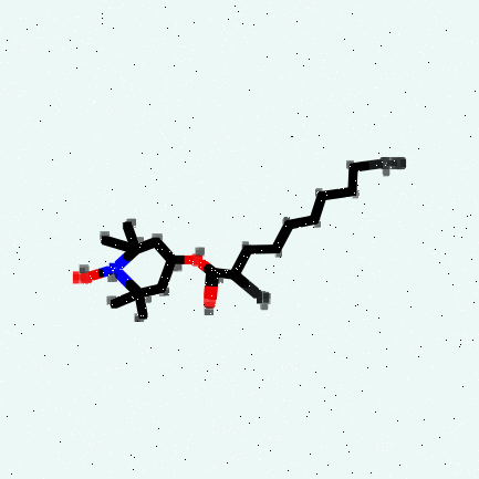 CCC(CCCCCCCC=O)C(=O)OC1CC(C)(C)N(O)C(C)(C)C1